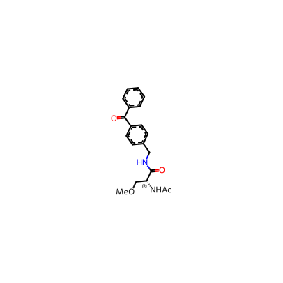 COC[C@@H](NC(C)=O)C(=O)NCc1ccc(C(=O)c2ccccc2)cc1